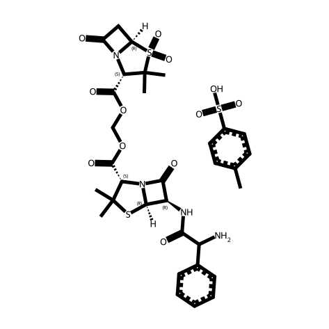 CC1(C)S[C@@H]2[C@H](NC(=O)C(N)c3ccccc3)C(=O)N2[C@H]1C(=O)OCOC(=O)[C@@H]1N2C(=O)C[C@H]2S(=O)(=O)C1(C)C.Cc1ccc(S(=O)(=O)O)cc1